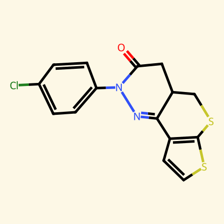 O=C1CC2CSc3sccc3C2=NN1c1ccc(Cl)cc1